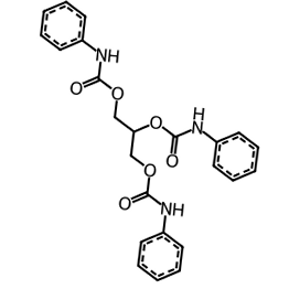 O=C(Nc1ccccc1)OCC(COC(=O)Nc1ccccc1)OC(=O)Nc1ccccc1